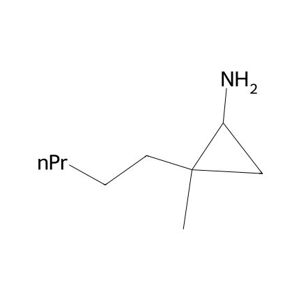 CCCCCC1(C)CC1N